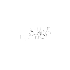 Cc1cc(C)cc(-c2nc3ccnc(NC(=O)C4CC4)c3[nH]2)c1